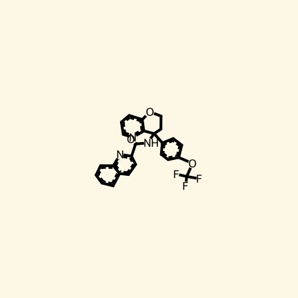 O=C(NC1(c2ccc(OC(F)(F)F)cc2)CCOc2cccnc21)c1ccc2ccccc2n1